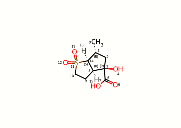 C[C@@H]1C[C@](O)(C(=O)O)[C@H]2CCS(=O)(=O)[C@@H]12